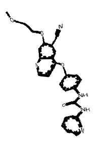 COCCOc1cc2nccc(Oc3ccc(NC(=O)Nc4ccccn4)cc3)c2cc1C#N